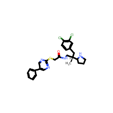 C[C@@](CNC(=O)CSc1ncc(-c2ccccc2)cn1)(Cc1ccc(Cl)c(Cl)c1)C1CCCN1